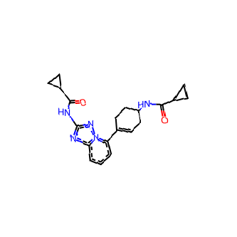 O=C(Nc1nc2cccc(C3=CCC(NC(=O)C4CC4)CC3)n2n1)C1CC1